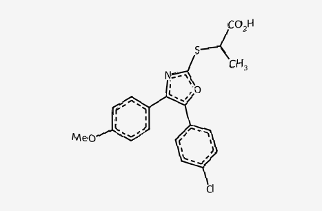 COc1ccc(-c2nc(SC(C)C(=O)O)oc2-c2ccc(Cl)cc2)cc1